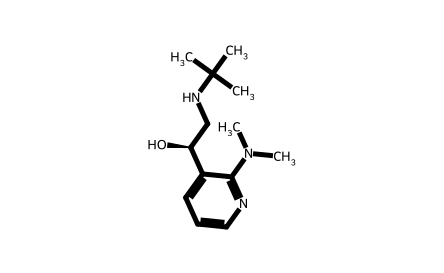 CN(C)c1ncccc1[C@@H](O)CNC(C)(C)C